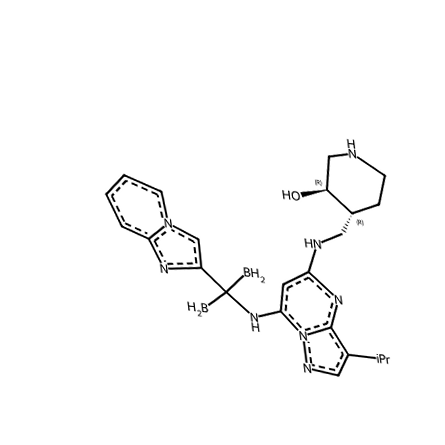 BC(B)(Nc1cc(NC[C@H]2CCNC[C@@H]2O)nc2c(C(C)C)cnn12)c1cn2ccccc2n1